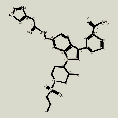 CCCS(=O)(=O)N1CCC(n2cc(-c3cccc(C(N)=S)c3)c3ccc(CNC(=O)Cc4c[nH]cn4)cc32)C(C)C1